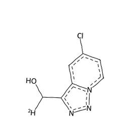 [2H]C(O)c1nnn2ccc(Cl)cc12